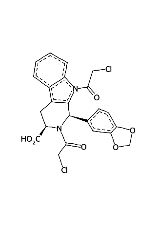 O=C(O)[C@H]1Cc2c(n(C(=O)CCl)c3ccccc23)[C@@H](c2ccc3c(c2)OCO3)N1C(=O)CCl